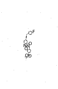 Cn1c(=O)n(Cc2ccc(C(=O)OC(C)(C)C)cc2)c(=O)c2cc(C#CCc3ccc(F)cc3)ccc21